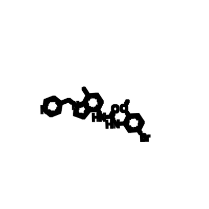 COc1ccc(Br)cc1NC(=O)Nc1ccc(C)c2c1ccn2Cc1ccncc1